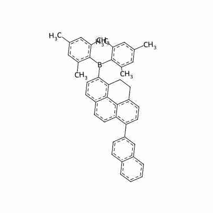 Cc1cc(C)c(B(c2ccc3ccc4c(-c5ccc6ccccc6c5)ccc5c4c3c2CC5)c2c(C)cc(C)cc2C)c(C)c1